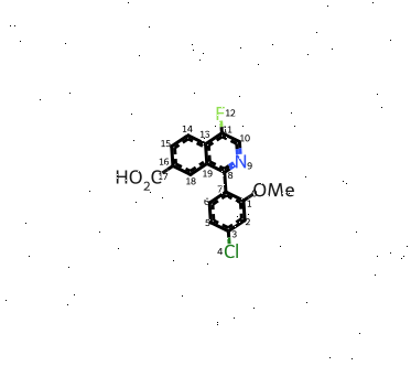 COc1cc(Cl)ccc1-c1ncc(F)c2ccc(C(=O)O)cc12